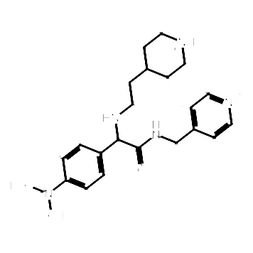 CN(C)c1ccc(C(NCCC2CCNCC2)C(=O)NCc2ccncc2)cc1